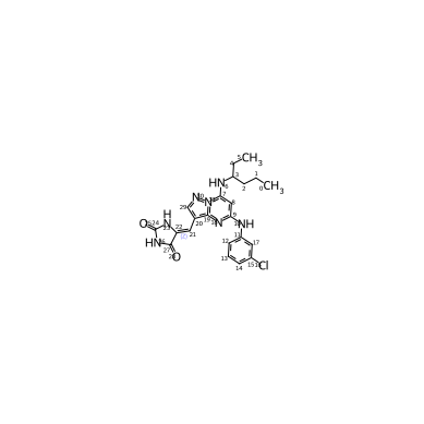 CCCC(CC)Nc1cc(Nc2cccc(Cl)c2)nc2c(/C=C3\NC(=O)NC3=O)cnn12